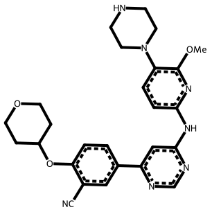 COc1nc(Nc2cc(-c3ccc(OC4CCOCC4)c(C#N)c3)ncn2)ccc1N1CCNCC1